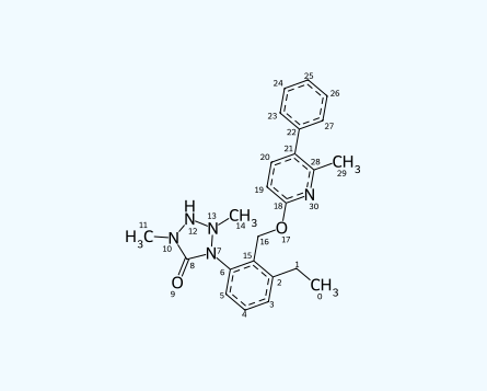 CCc1cccc(N2C(=O)N(C)NN2C)c1COc1ccc(-c2ccccc2)c(C)n1